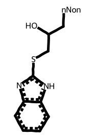 CCCCCCCCCCC(O)CSc1nc2ccccc2[nH]1